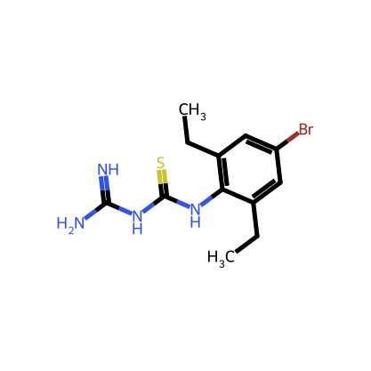 CCc1cc(Br)cc(CC)c1NC(=S)NC(=N)N